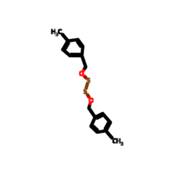 Cc1ccc(COSSOCc2ccc(C)cc2)cc1